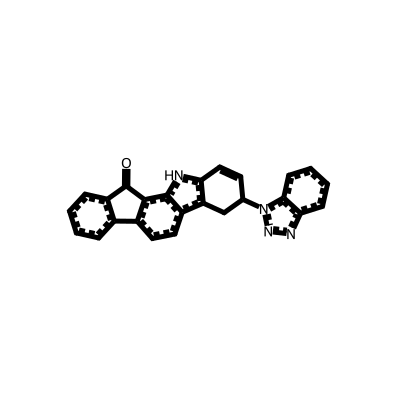 O=C1c2ccccc2-c2ccc3c4c([nH]c3c21)C=CC(n1nnc2ccccc21)C4